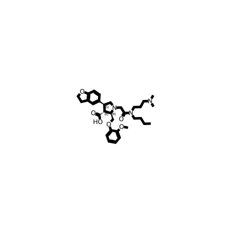 CCCCN(CCCN(C)C)C(=O)CN1C[C@H](c2ccc3c(c2)CCO3)[C@@H](C(=O)O)[C@@H]1COc1ccccc1OC